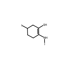 SC1=C(NI)CCC(I)C1